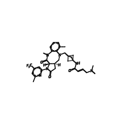 Cc1cc(C(F)(F)F)cc(N2C(=O)C[C@@H]3CN(CC45CC(NC(=O)/C=C/CN(C)C)(C4)C5)c4c(C)cccc4N(C)C(=O)[C@H]32)n1